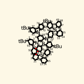 CC(C)(C)c1ccc(N2c3ccc([Si](c4ccccc4)(c4ccccc4)c4ccccc4)cc3B3c4ccc(C(C)(C)C)cc4N(c4ccc([Si](c5ccccc5)(c5ccccc5)c5ccccc5)cc4)c4cc(-n5c6ccc(C(C)(C)C)cc6c6cc(C(C)(C)C)ccc65)cc2c43)c(-c2ccccc2)c1